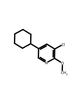 COc1ncc(C2CCCCC2)cc1Cl